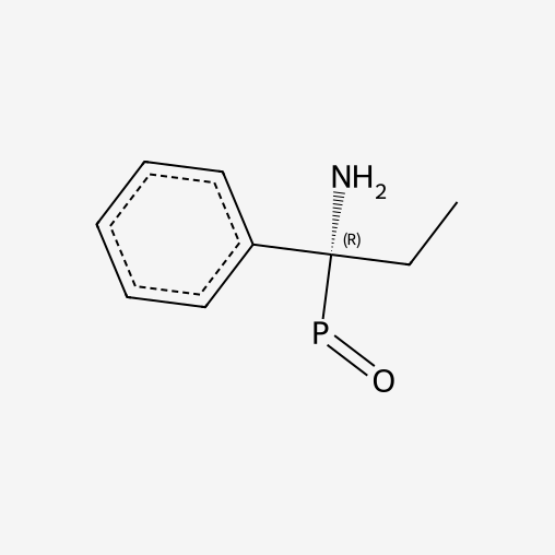 CC[C@@](N)(P=O)c1ccccc1